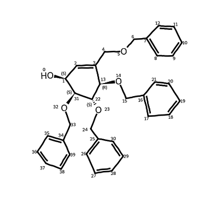 O[C@H]1C=C(COCc2ccccc2)[C@@H](OCc2ccccc2)[C@H](OCc2ccccc2)[C@H]1OCc1ccccc1